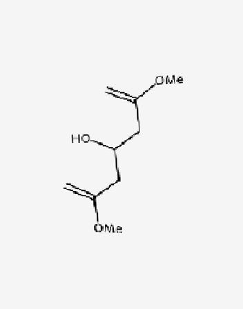 C=C(CC(O)CC(=C)OC)OC